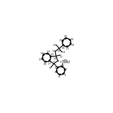 CC(C)(C)c1ccccc1C1(C)CC(C)(CC(C)(C)c2ccccc2)c2ccccc21